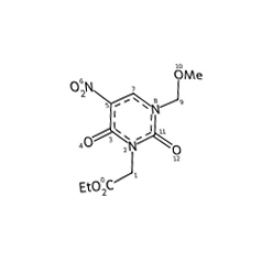 CCOC(=O)Cn1c(=O)c([N+](=O)[O-])cn(COC)c1=O